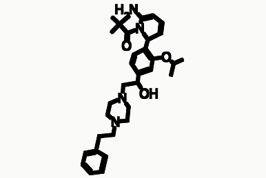 CC(C)Oc1cc(C(O)CN2CCN(CCc3ccccc3)CC2)ccc1C1C=CC=C(N)N1C(=O)C(C)(C)C